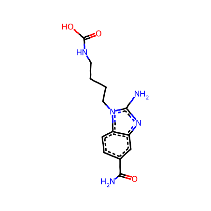 NC(=O)c1ccc2c(c1)nc(N)n2CCCCNC(=O)O